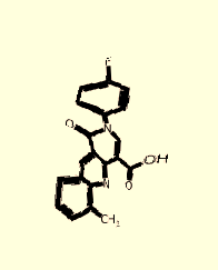 Cc1cccc2cc3c(=O)n(-c4ccc(F)cc4)cc(C(=O)O)c3nc12